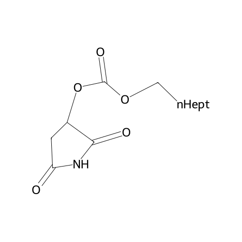 CCCCCCCCOC(=O)OC1CC(=O)NC1=O